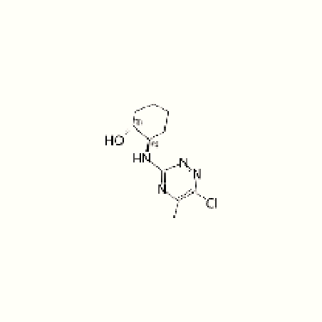 Cc1nc(N[C@@H]2CCCC[C@H]2O)nnc1Cl